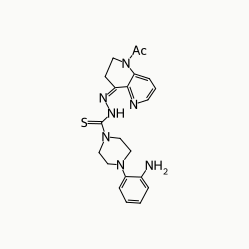 CC(=O)N1CC/C(=N/NC(=S)N2CCN(c3ccccc3N)CC2)c2ncccc21